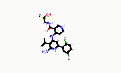 C=C(C)c1c(Nc2ccncc2C(=O)NC[C@H](C)O)cc(-c2cc(Cl)ccc2F)nc1N